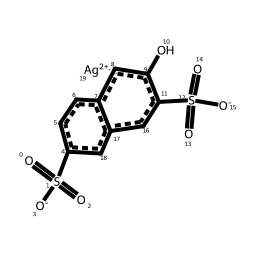 O=S(=O)([O-])c1ccc2cc(O)c(S(=O)(=O)[O-])cc2c1.[Ag+2]